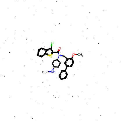 CN[C@H]1CC[C@@H](N(Cc2cc(-c3ccccc3)ccc2OC)C(=O)c2sc3ccccc3c2Cl)CC1